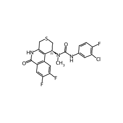 CN(C(=O)Nc1ccc(F)c(Cl)c1)[C@@H]1CSCc2[nH]c(=O)c3cc(F)c(F)cc3c21